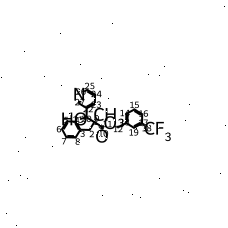 CC(Cc1ccccc1)(C(=O)OCc1cccc(C(F)(F)F)c1)C(O)c1cccnc1